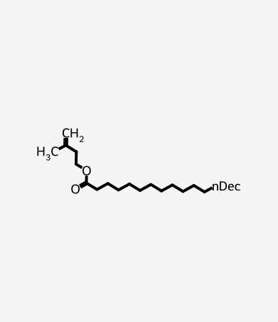 C=C(C)CCOC(=O)CCCCCCCCCCCCCCCCCCCCC